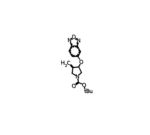 C=C1CN(C(=O)OC(C)(C)C)CC1Oc1ccc2nonc2c1